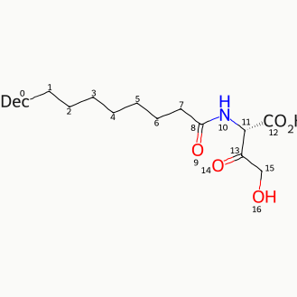 CCCCCCCCCCCCCCCCCC(=O)N[C@H](C(=O)O)C(=O)CO